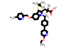 CCOc1ccc(-c2ccc(Cn3c(CC(C)(C)C(=O)[O-])c(SC(C)(C)C)c4cc(OCc5ccc(C)cn5)ccc43)cc2)cn1.[Li+]